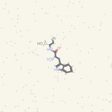 CC(C)C[C@H](NC(=O)[C@@H](N)Cc1c[nH]c2ccccc12)C(=O)O